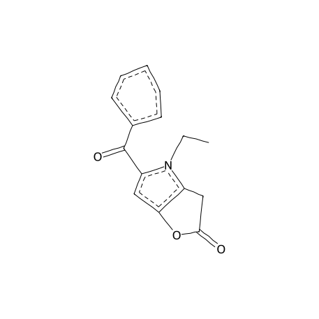 CCn1c(C(=O)c2ccccc2)cc2c1CC(=O)O2